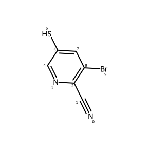 N#Cc1ncc(S)cc1Br